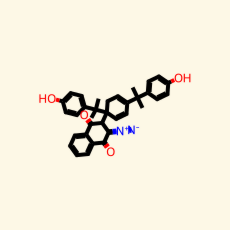 CC(C)(C1=CCC(C2C(=O)c3ccccc3C(=O)C2=[N+]=[N-])(C(C)(C)c2ccc(O)cc2)C=C1)c1ccc(O)cc1